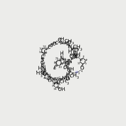 CC1/C=C\COc2cccc(c2)C[C@H]2NC(=O)[C@@H](C)NC(=O)[C@H](C)NC(=O)CCSCc3cccc(c3)CSCCNC(=O)[C@]3(C)CCCN3C(=O)[C@H](Cc3ccc(O)cc3)NC(=O)[C@H](C)NC(=O)[C@H]1NC(=O)[C@H](Cc1c[nH]c3ccc(F)cc13)NC2=O